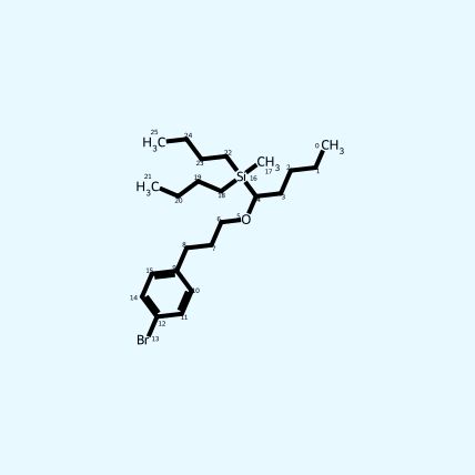 CCCCC(OCCCc1ccc(Br)cc1)[Si](C)(CCCC)CCCC